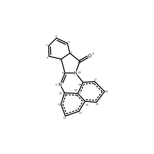 O=C1C2C=CC=CC2C2=Nc3cccc4cccc(c34)N12